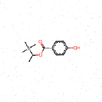 CC(OC(=O)c1ccc(O)cc1)[Si](C)(C)C